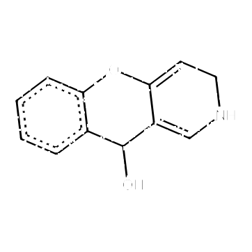 OC1C2=CNCC=C2Oc2ccccc21